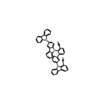 N#Cc1cccc(-c2cccc(-n3c4ccccc4c4cccc(C#N)c43)c2)c1-n1c2ccccc2c2cc(-n3c4ccccc4c4ccccc43)ccc21